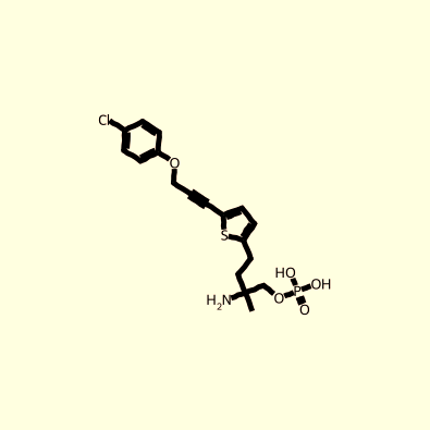 CC(N)(CCc1ccc(C#CCOc2ccc(Cl)cc2)s1)COP(=O)(O)O